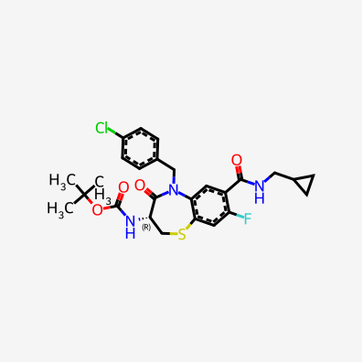 CC(C)(C)OC(=O)N[C@H]1CSc2cc(F)c(C(=O)NCC3CC3)cc2N(Cc2ccc(Cl)cc2)C1=O